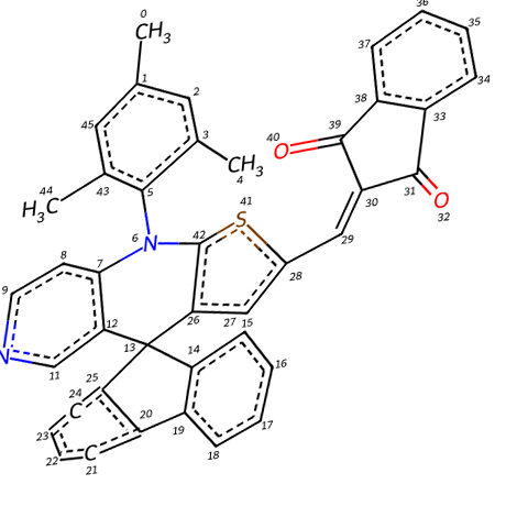 Cc1cc(C)c(N2c3ccncc3C3(c4ccccc4-c4ccccc43)c3cc(C=C4C(=O)c5ccccc5C4=O)sc32)c(C)c1